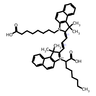 CCCCCCC(C(=O)O)[N+]1=C(/C=C/C=C2\N(CCCCCCCC(=O)O)c3ccc4ccccc4c3C2(C)C)C(C)(C)c2c1ccc1ccccc21